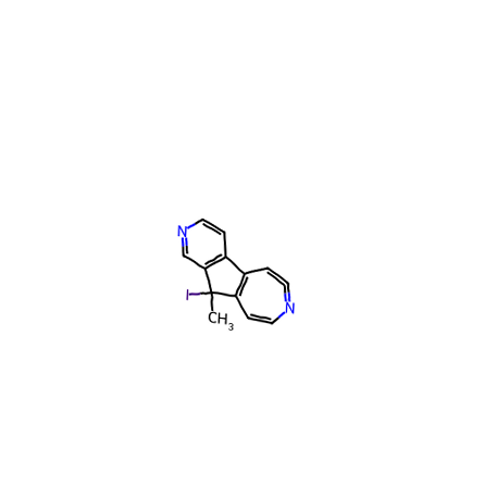 CC1(I)C2=C(C=C=NC=C2)c2ccncc21